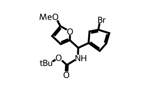 COc1ccc(C(NC(=O)OC(C)(C)C)c2cccc(Br)c2)o1